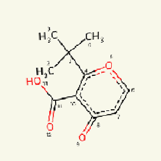 CC(C)(C)c1occc(=O)c1C(=O)O